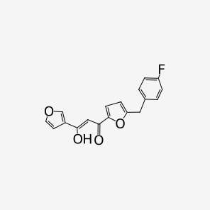 O=C(C=C(O)c1ccoc1)c1ccc(Cc2ccc(F)cc2)o1